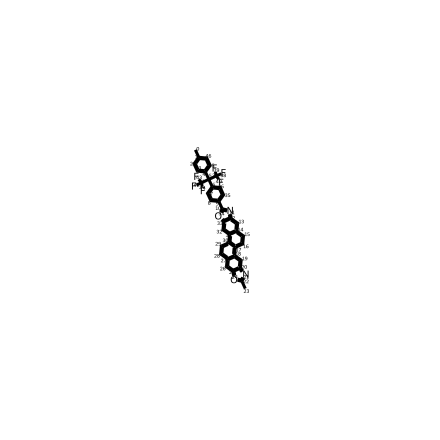 Cc1ccc(C(c2ccc(-c3nc4cc5ccc6c7cc8nc(C)oc8cc7ccc6c5cc4o3)cc2)(C(F)(F)F)C(F)(F)F)cc1